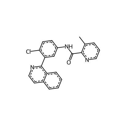 Cc1cccnc1C(=O)Nc1ccc(Cl)c(-c2nccc3ccccc23)c1